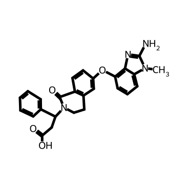 Cn1c(N)nc2c(Oc3ccc4c(c3)CCN(C(CC(=O)O)c3ccccc3)C4=O)cccc21